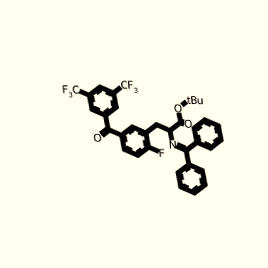 CC(C)(C)OC(=O)C(Cc1cc(C(=O)c2cc(C(F)(F)F)cc(C(F)(F)F)c2)ccc1F)N=C(c1ccccc1)c1ccccc1